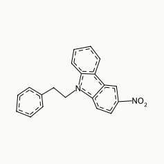 O=[N+]([O-])c1ccc2c(c1)c1ccccc1n2CCc1ccccc1